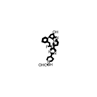 O=CBN1CCC(c2ncc(-c3ccc4nc5c(n4c3)[C@@H](c3ccccc3CC(F)F)C[C@H]5O)cn2)CC1